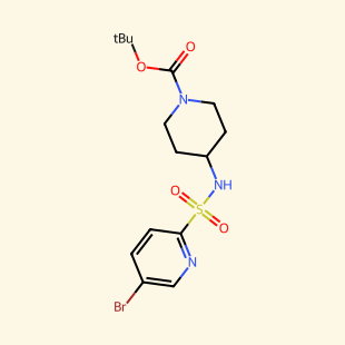 CC(C)(C)OC(=O)N1CCC(NS(=O)(=O)c2ccc(Br)cn2)CC1